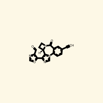 C#Cc1ccc2c(c1)C(=O)N1CC[C@H]1c1c(-c3ocnc3C=O)ncn1-2